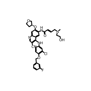 CN(C/C=C/C(=O)Nc1cc2c(Nc3ccc(OCc4cccc(F)c4)c(Cl)c3)c(C#N)cnc2cc1O[C@H]1CCOC1)CCO